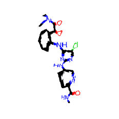 CNC(=O)c1ccc(Nc2ncc(Cl)c(Nc3ccccc3C(=O)C(=O)N(C)C)n2)cn1